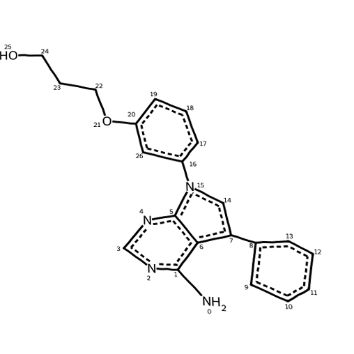 Nc1ncnc2c1c(-c1ccccc1)cn2-c1cccc(OCCCO)c1